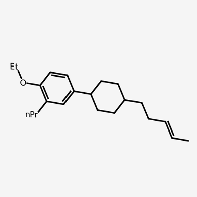 CC=CCCC1CCC(c2ccc(OCC)c(CCC)c2)CC1